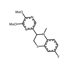 COc1ncc(C2CSc3cc(F)ccc3N2C)nc1OC